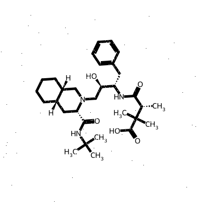 C[C@@H](C(=O)N[C@@H](Cc1ccccc1)[C@H](O)CN1C[C@H]2CCCC[C@H]2C[C@H]1C(=O)NC(C)(C)C)C(C)(C)C(=O)O